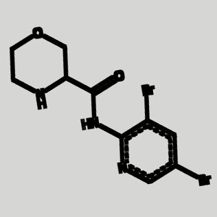 O=C(Nc1ncc(Br)cc1Br)C1COCCN1